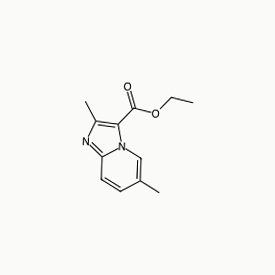 CCOC(=O)c1c(C)nc2ccc(C)cn12